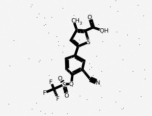 Cc1cc(-c2ccc(OS(=O)(=O)C(F)(F)F)c(C#N)c2)sc1C(=O)O